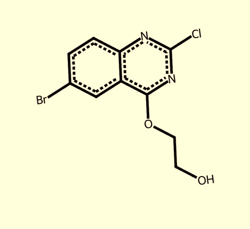 OCCOc1nc(Cl)nc2ccc(Br)cc12